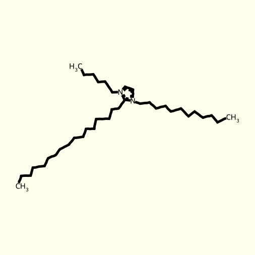 CCCCCCCCCCCCCCCCCc1n(CCCCCCCCCCCC)cc[n+]1CCCCCC